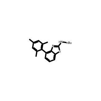 CCCCNc1nc2c(-c3c(C)cc(C)cc3C)cccc2s1